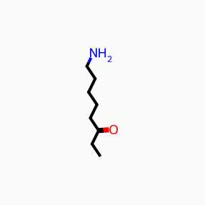 CCC(=O)CCCCCN